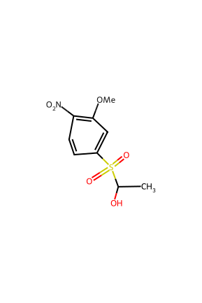 COc1cc(S(=O)(=O)C(C)O)ccc1[N+](=O)[O-]